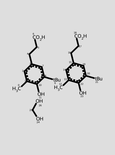 Cc1cc(CCC(=O)O)cc(C(C)(C)C)c1O.Cc1cc(CCC(=O)O)cc(C(C)(C)C)c1O.OCO